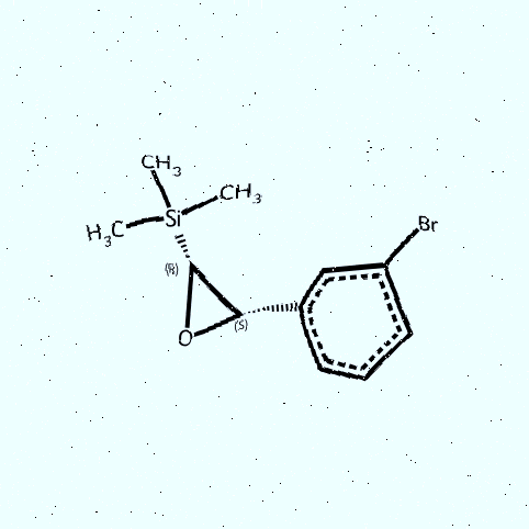 C[Si](C)(C)[C@H]1O[C@H]1c1cccc(Br)c1